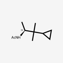 CC(=O)N[C@@H](C)C(C)(C)C1CC1